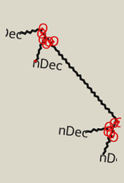 CCCCCCCCCCCCCCCCCC(=O)OCC(COC(=O)CCCCCCCCCCCCCCCCCCCCCCCCCCCCCCCCCCCCC(=O)OCC(COC(=O)CCCCCCCCCCCCCCCCC)OC(=O)CCCCCCCCCCCCCCCCC)OC(=O)CCCCCCCCCCCCCCCCC